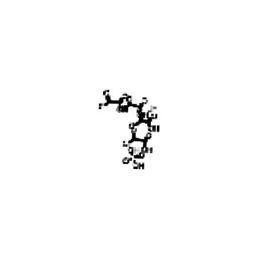 O=C(O)C(=O)Cl.O=C(O)C(=O)Cl.O=C(O)C(=O)Cl.O=C(O)C(=O)Cl.O=P([O-])(O)O.[Li+]